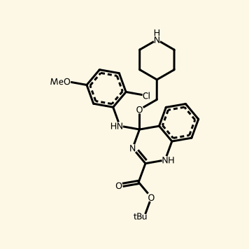 COc1ccc(Cl)c(NC2(OCC3CCNCC3)N=C(C(=O)OC(C)(C)C)Nc3ccccc32)c1